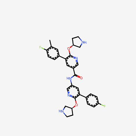 Cc1cc(-c2cc(C(=O)Nc3cnc(O[C@H]4CCNC4)c(-c4ccc(F)cc4)c3)cnc2O[C@H]2CCNC2)ccc1F